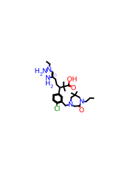 CCCN1CC(C)(C)CN(Cc2cc(C(CC/C(N)=C/N(N)CC)C(C)(C)C(=O)O)ccc2Cl)CC1=O